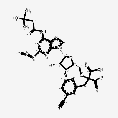 CC(C)(C)OC(=O)Nc1nc(N=[N+]=[N-])nc2c1ncn2[C@@H]1O[C@H](COC(Cc2cccc(C#N)c2)(C(=O)O)C(=O)O)[C@@H](O)[C@@H]1F